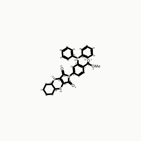 COC(=O)c1ccc(N2C(=O)C3=C(SC4CCCCC4S3)C2=O)cc1P(c1ccccc1)c1ccccc1